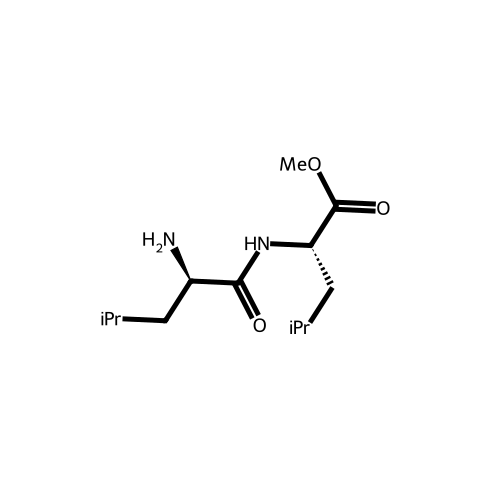 COC(=O)[C@H](CC(C)C)NC(=O)[C@H](N)CC(C)C